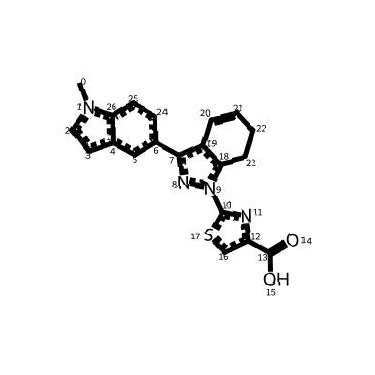 Cn1ccc2cc(-c3nn(-c4nc(C(=O)O)cs4)c4c3C=CCC4)ccc21